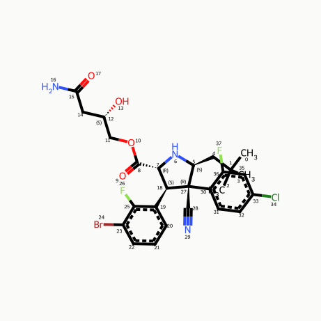 CC(C)(C)C[C@@H]1N[C@@H](C(=O)OC[C@@H](O)CC(N)=O)[C@H](c2cccc(Br)c2F)[C@@]1(C#N)c1ccc(Cl)cc1F